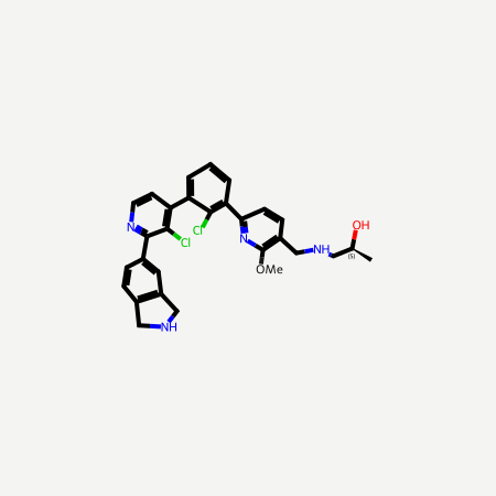 COc1nc(-c2cccc(-c3ccnc(-c4ccc5c(c4)CNC5)c3Cl)c2Cl)ccc1CNC[C@H](C)O